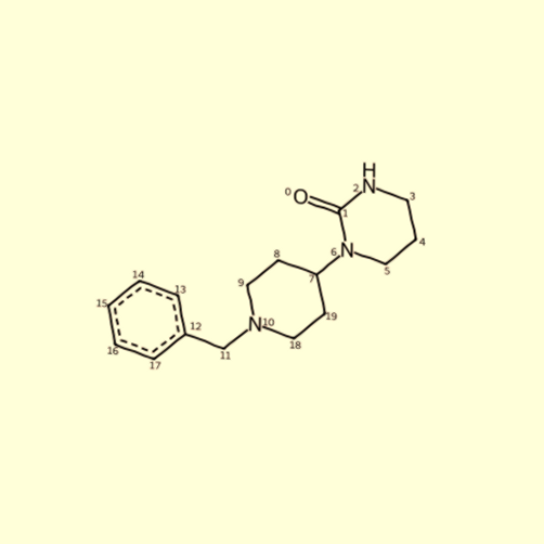 O=C1NCCCN1C1CCN(Cc2ccccc2)CC1